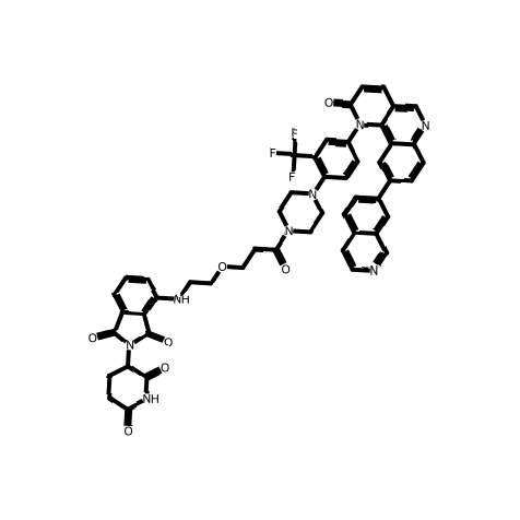 O=C1CCC(N2C(=O)c3cccc(NCCOCCC(=O)N4CCN(c5ccc(-n6c(=O)ccc7cnc8ccc(-c9ccc%10ccncc%10c9)cc8c76)cc5C(F)(F)F)CC4)c3C2=O)C(=O)N1